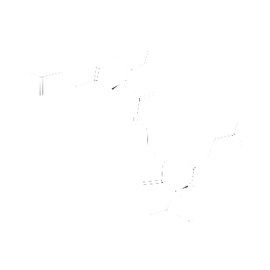 CCC(C)[C@H](NC(=O)CCC(=O)O)C(=O)NCCNC(=O)[C@@H](NC(=O)CCC(=O)O)C(C)CC